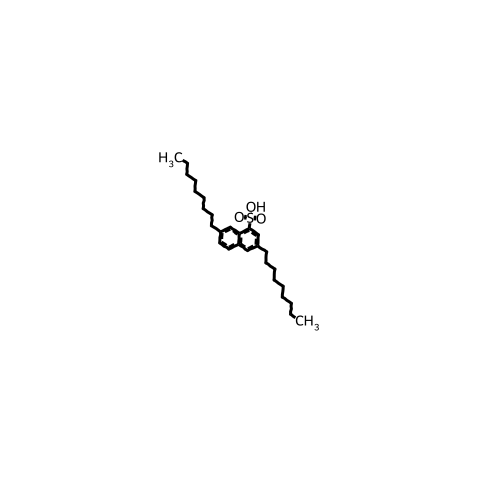 CCCCCCCCCc1cc(S(=O)(=O)O)c2cc(CCCCCCCCC)ccc2c1